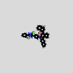 Clc1nc2c(nc1-c1ccc(-n3c4cc5ccccc5cc4c4c5ccccc5c5c6ccc7ccccc7c6oc5c43)cc1)sc1ccccc12